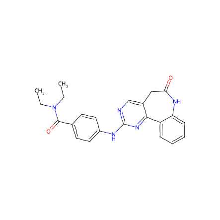 CCN(CC)C(=O)c1ccc(Nc2ncc3c(n2)-c2ccccc2NC(=O)C3)cc1